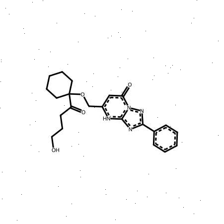 O=C(CCCO)C1(OCc2cc(=O)n3nc(-c4ccccc4)nc3[nH]2)CCCCC1